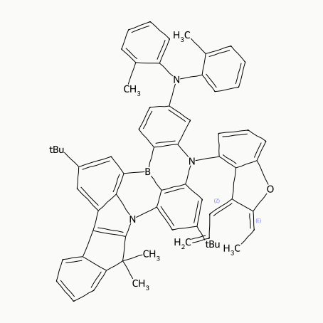 C=C/C=c1\c(=C/C)oc2cccc(N3c4cc(N(c5ccccc5C)c5ccccc5C)ccc4B4c5c3cc(C(C)(C)C)cc5-n3c5c(c6cc(C(C)(C)C)cc4c63)-c3ccccc3C5(C)C)c12